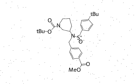 COC(=O)c1ccc(CN(C2CCCN(C(=O)OC(C)(C)C)C2)[S+]([O-])c2ccc(C(C)(C)C)cc2)cc1